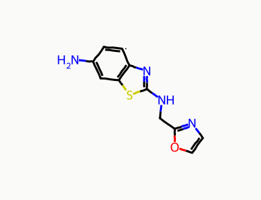 Nc1c[c]c2nc(NCc3ncco3)sc2c1